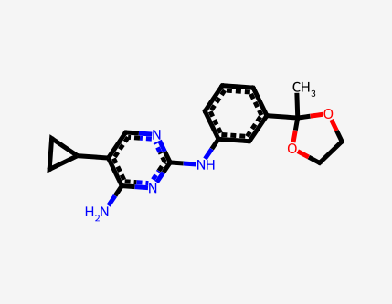 CC1(c2cccc(Nc3ncc(C4CC4)c(N)n3)c2)OCCO1